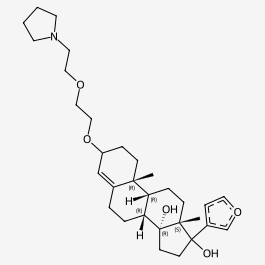 C[C@]12CCC(OCCOCCN3CCCC3)C=C1CC[C@@H]1[C@H]2CC[C@]2(C)C(O)(c3ccoc3)CC[C@@]12O